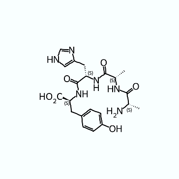 C[C@H](N)C(=O)N[C@@H](C)C(=O)N[C@@H](Cc1c[nH]cn1)C(=O)N[C@@H](Cc1ccc(O)cc1)C(=O)O